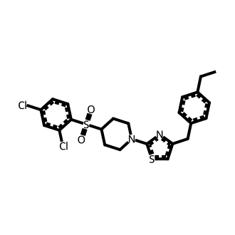 CCc1ccc(Cc2csc(N3CCC(S(=O)(=O)c4ccc(Cl)cc4Cl)CC3)n2)cc1